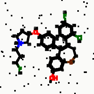 Oc1ccc2c(c1)SCCC(c1ccc(F)cc1Cl)=C2c1ccc(O[C@H]2CCN(CCCF)C2)cc1